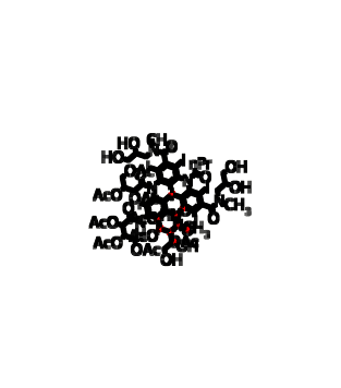 CCCC(=O)N(c1c(I)c(NC(=O)C(OC(C)=O)C(COC(C)=O)OC(C)=O)c(I)c(C(=O)N(C)CC(O)CO)c1I)c1c(I)c(C(=O)N(C)CC(O)CO)c(I)c(N(C(=O)C(OC(C)=O)C(COC(C)=O)OC(C)=O)c2c(I)c(NC(=O)C(OC(C)=O)C(COC(C)=O)OC(C)=O)c(I)c(C(=O)N(C)CC(O)CO)c2I)c1I